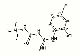 CC(C)(C)NC(=O)NC(=N)Nc1ccc(I)cc1Cl